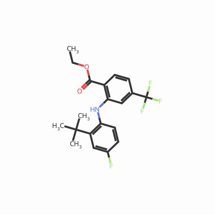 CCOC(=O)c1ccc(C(F)(F)F)cc1Nc1ccc(F)cc1C(C)(C)C